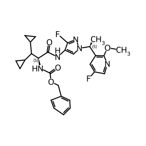 COc1ncc(F)cc1[C@H](C)n1cc(NC(=O)[C@@H](NC(=O)OCc2ccccc2)C(C2CC2)C2CC2)c(F)n1